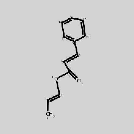 CC=COC(=O)C=Cc1ccccc1